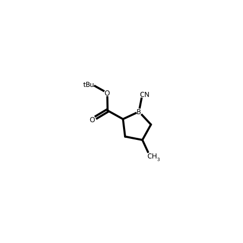 CC1CB(C#N)C(C(=O)OC(C)(C)C)C1